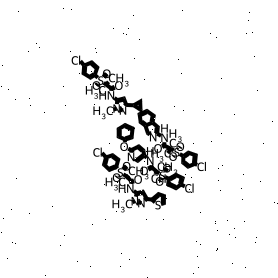 CC(C)(C(=O)Nc1cc2ccccc2cn1)S(=O)(=O)c1ccc(Cl)cc1.CC(C)(C(=O)Nc1ccc(Oc2ccccc2)nc1)S(=O)(=O)c1ccc(Cl)cc1.Cn1nc(-c2cccs2)cc1NC(=O)C(C)(C)S(=O)(=O)c1ccc(Cl)cc1.Cn1nc(C2CC2)cc1NC(=O)C(C)(C)S(=O)(=O)c1ccc(Cl)cc1